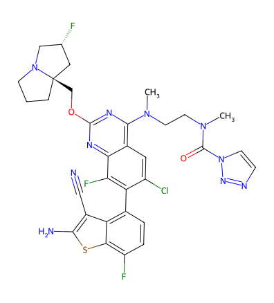 CN(CCN(C)c1nc(OC[C@@]23CCCN2C[C@H](F)C3)nc2c(F)c(-c3ccc(F)c4sc(N)c(C#N)c34)c(Cl)cc12)C(=O)n1ccnn1